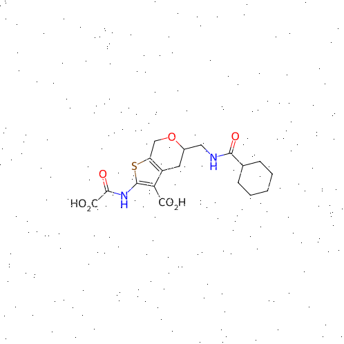 O=C(O)C(=O)Nc1sc2c(c1C(=O)O)CC(CNC(=O)C1CCCCC1)OC2